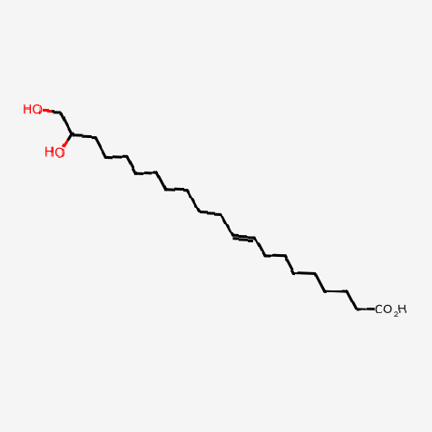 O=C(O)CCCCCCCC=CCCCCCCCCCC(O)CO